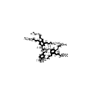 [CH2]Cc1ccc(-c2nc(Nc3cc(CCCCCCCCCCCCC)c(CCCCCCCCCCCCC)c(CCCCCCCCCCCCC)c3)nc(Nc3cc(CCCCCCCCCCCCC)c(CCCCCCCCCCCCC)c(CCCCCCCCCCCCC)c3)n2)cc1